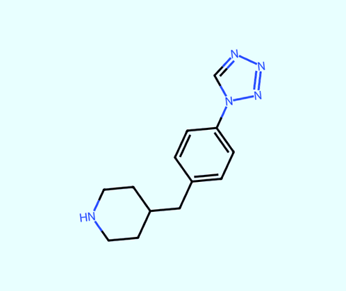 c1cc(-n2cnnn2)ccc1CC1CCNCC1